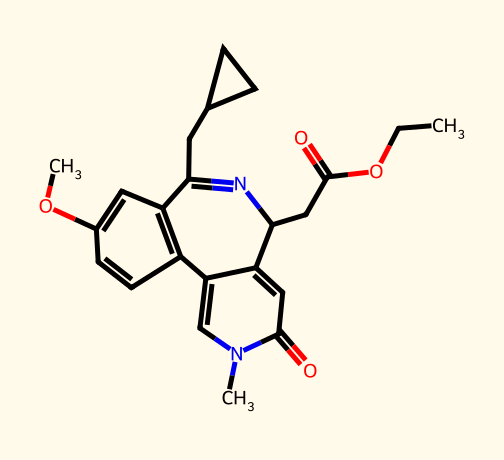 CCOC(=O)CC1N=C(CC2CC2)c2cc(OC)ccc2-c2cn(C)c(=O)cc21